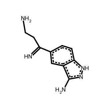 N=C(CCN)c1ccc2[nH]nc(N)c2c1